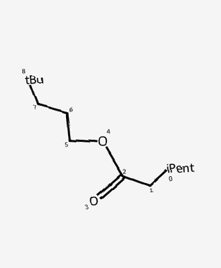 CCCC(C)CC(=O)OCCCC(C)(C)C